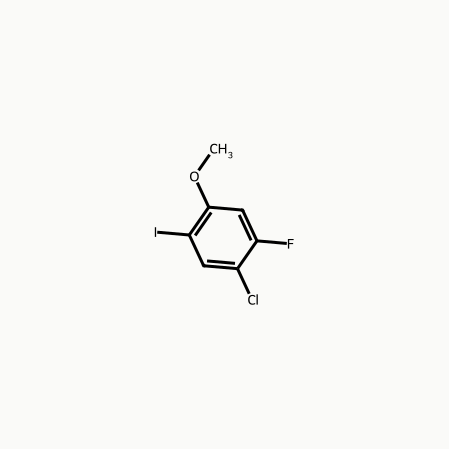 COc1cc(F)c(Cl)cc1I